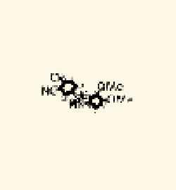 COc1ccc(NS(=O)(=O)c2ccc(Cl)c(C#N)c2)cc1OC